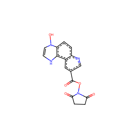 O=C(ON1C(=O)CCC1=O)c1cnc2ccc3c(c2c1)NC=CN3O